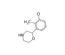 Cc1c(Cl)cccc1C1CNCCO1